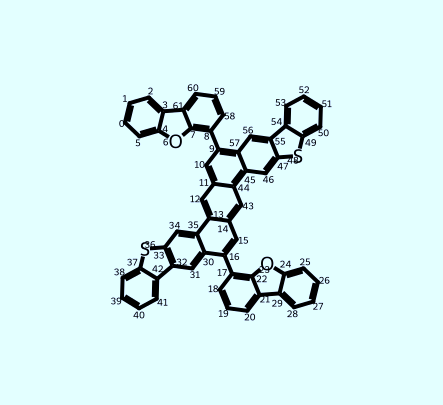 c1ccc2c(c1)oc1c(-c3cc4cc5c(cc(-c6cccc7c6oc6ccccc67)c6cc7c(cc65)sc5ccccc57)cc4c4cc5sc6ccccc6c5cc34)cccc12